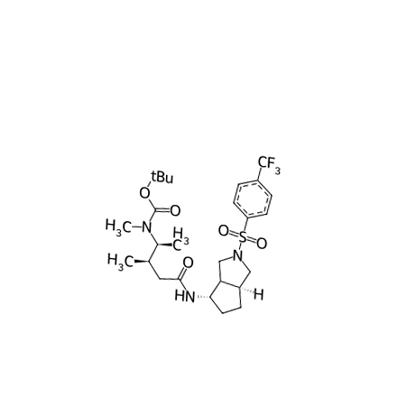 C[C@H](CC(=O)N[C@H]1CC[C@@H]2CN(S(=O)(=O)c3ccc(C(F)(F)F)cc3)CC21)[C@H](C)N(C)C(=O)OC(C)(C)C